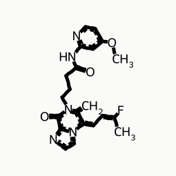 C=c1/c(=C\C=C(/C)F)n2ccnc2c(=O)n1CCCC(=O)Nc1cc(OC)ccn1